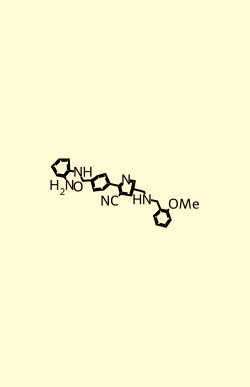 COc1ccccc1CNCc1cnc(-c2ccc(C(=O)Nc3ccccc3N)cc2)c(C#N)c1